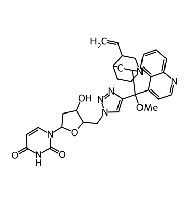 C=CC1CN2CCC1CC2C(OC)(c1cn(CC2OC(n3ccc(=O)[nH]c3=O)CC2O)nn1)c1ccnc2ccccc12